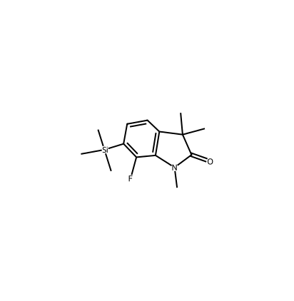 CN1C(=O)C(C)(C)c2ccc([Si](C)(C)C)c(F)c21